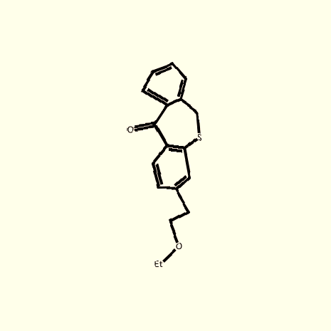 CCOCCc1ccc2c(c1)SCc1ccccc1C2=O